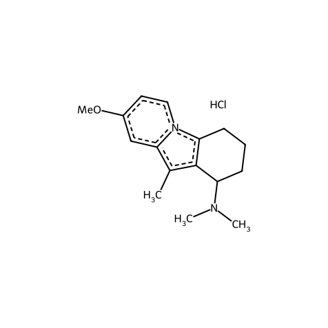 COc1ccn2c3c(c(C)c2c1)C(N(C)C)CCC3.Cl